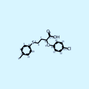 Cc1ccc(SCCC(Oc2ccc(Cl)cc2)C(=O)O)cc1